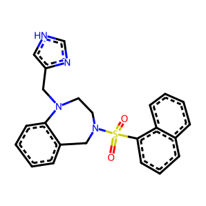 O=S(=O)(c1cccc2ccccc12)N1CCN(Cc2c[nH]cn2)c2ccccc2C1